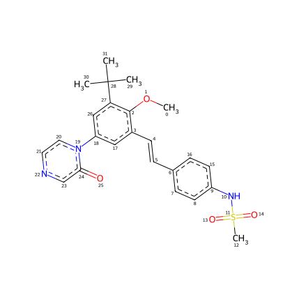 COc1c(C=Cc2ccc(NS(C)(=O)=O)cc2)cc(-n2ccncc2=O)cc1C(C)(C)C